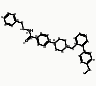 COc1ccc(-c2ccccc2CN2CCN(c3ccc(C(=O)NSCc4ccccc4)cc3)CC2)cc1